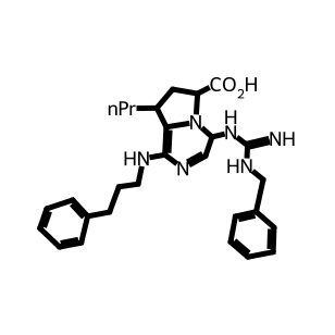 CCCC1CC(C(=O)O)N2C1=C(NCCCc1ccccc1)N=CC2NC(=N)NCc1ccccc1